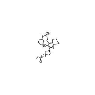 C=CC(=O)N1CC2(CCN(c3nc4c(c(-c5cc(O)c(F)c6ccccc56)c3C#N)CCC3CC43)C2)C1